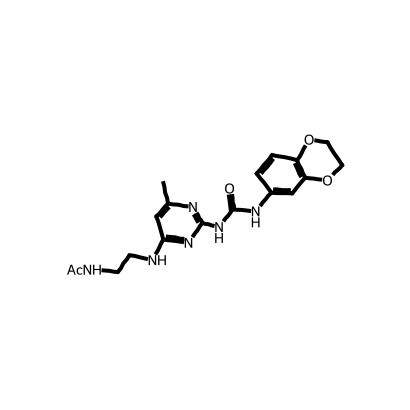 CC(=O)NCCNc1cc(C)nc(NC(=O)Nc2ccc3c(c2)OCCO3)n1